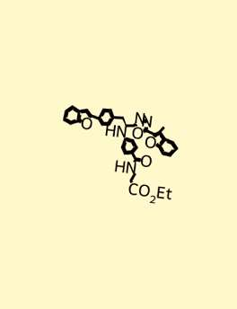 CCOC(=O)CCNC(=O)c1ccc(N[C@@H](Cc2ccc(-c3cc4ccccc4o3)cc2)c2nnc(-c3oc4ccccc4c3C)o2)cc1